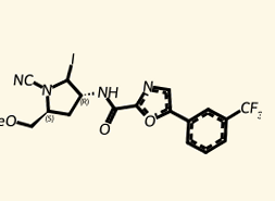 COC[C@@H]1C[C@@H](NC(=O)c2ncc(-c3cccc(C(F)(F)F)c3)o2)C(I)N1C#N